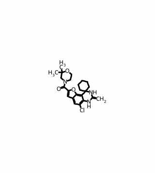 C=C1Nc2c(Cl)cc3cc(C(=O)N4CCOC(C)(C)C4)oc3c2C2(CCCCC2)N1